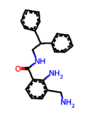 NCc1cccc(C(=O)NCC(c2ccccc2)c2ccccc2)c1N